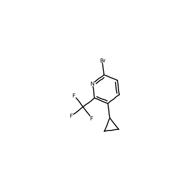 FC(F)(F)c1nc(Br)ccc1C1CC1